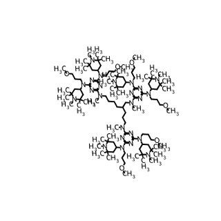 COCCCN(c1nc(N(C)CCCCC(CCCN(C)c2nc(N(CCCOC)C3CC(C)(C)N(C)C(C)(C)C3)nc(N(CCCOC)C3CC(C)(C)N(C)C(C)(C)C3)n2)CN(C)c2nc(N(CCCOC)C3CC(C)(C)N(C)C(C)(C)C3)nc(N(CCCOC)C3CC(C)(C)N(C)C(C)(C)C3)n2)nc(N(CCCOC)C2CC(C)(C)N(C)C(C)(C)C2)n1)C1CC(C)(C)N(C)C(C)(C)C1